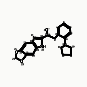 [O-][S+](Cc1ccccc1N1CCCC1)c1nc2cc3c(cc2[nH]1)OCO3